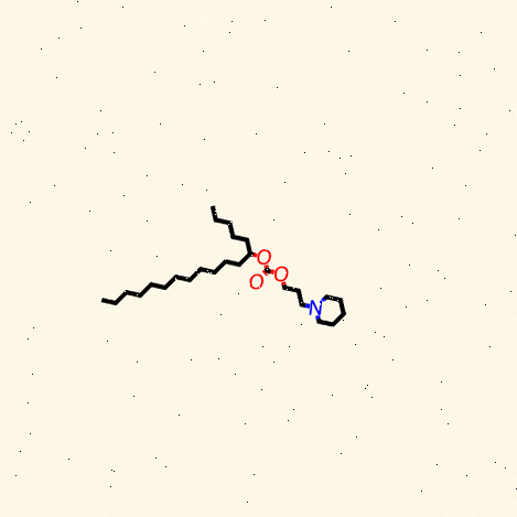 CCCCCCCCCCCCC(CCCCC)OC(=O)OCCCN1CCCCC1